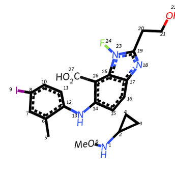 CONC1CC1.Cc1cc(I)ccc1Nc1ccc2nc(CCO)n(F)c2c1C(=O)O